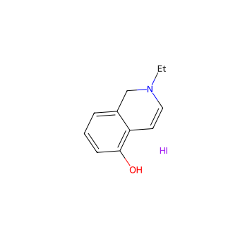 CCN1C=Cc2c(O)cccc2C1.I